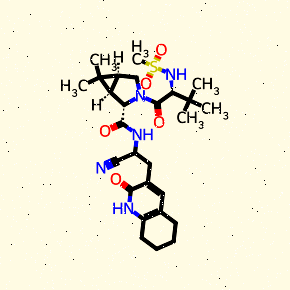 CC(C)(C)[C@H](NS(C)(=O)=O)C(=O)N1C[C@H]2[C@@H]([C@H]1C(=O)NC(C#N)Cc1cc3c([nH]c1=O)CCCC3)C2(C)C